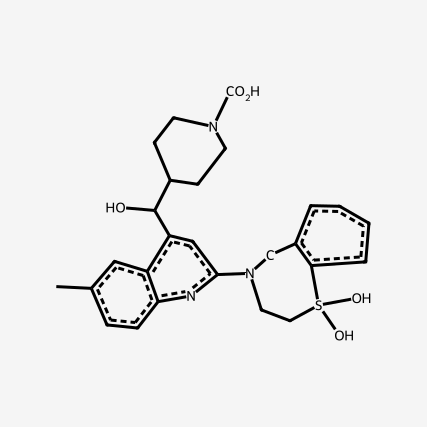 Cc1ccc2nc(N3CCS(O)(O)c4ccccc4C3)cc(C(O)C3CCN(C(=O)O)CC3)c2c1